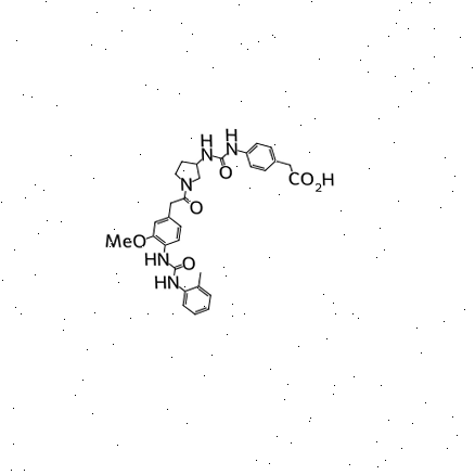 COc1cc(CC(=O)N2CCC(NC(=O)Nc3ccc(CC(=O)O)cc3)C2)ccc1NC(=O)Nc1ccccc1C